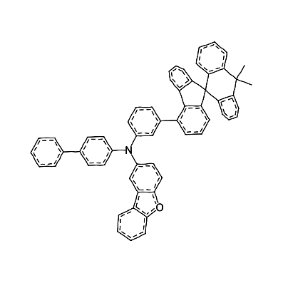 CC1(C)c2ccccc2C2(c3ccccc3-c3c(-c4cccc(N(c5ccc(-c6ccccc6)cc5)c5ccc6oc7ccccc7c6c5)c4)cccc32)c2ccccc21